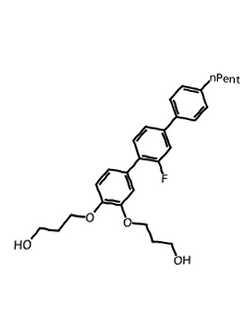 CCCCCc1ccc(-c2ccc(-c3ccc(OCCCO)c(OCCCO)c3)c(F)c2)cc1